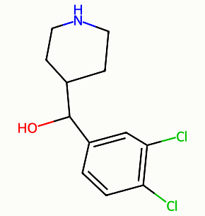 OC(c1ccc(Cl)c(Cl)c1)C1CCNCC1